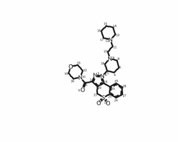 O=C(c1nn(C2CCCN(CCN3CCCCC3)C2)c2c1CS(=O)(=O)c1ccccc1-2)N1CCOCC1